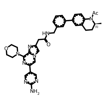 CC(=O)N1c2ccc(-c3cccc(CNC(=O)Cc4cn5cc(-c6cnc(N)nc6)nc(N6CCOCC6)c5n4)c3)cc2CC[C@@H]1C